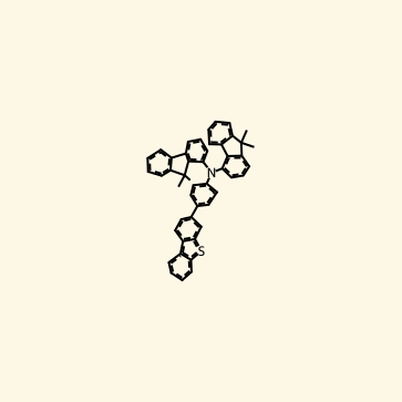 CC1(C)c2ccccc2-c2c(N(c3ccc(-c4ccc5c(c4)sc4ccccc45)cc3)c3cccc4c3C(C)(C)c3ccccc3-4)cccc21